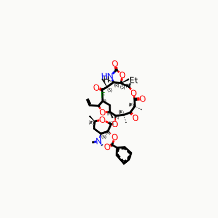 C=CC1O[C@]2(C)C[C@]1(F)C(=O)[C@@H](C)[C@H]1NC(=O)O[C@]1(C)[C@@H](CC)OC(=O)[C@H](C)C(=O)[C@H](C)[C@H]2O[C@@H]1O[C@H](C)C[C@H](N(C)C)[C@H]1OC(=O)c1ccccc1